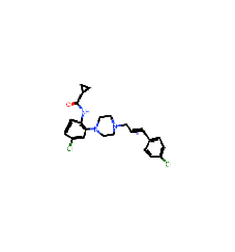 O=C(Nc1ccc(Cl)cc1N1CCN(C/C=C/c2ccc(Cl)cc2)CC1)C1CC1